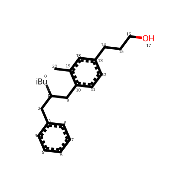 CCC(C)[C](Cc1ccccc1)Cc1ccc(CCCO)cc1C